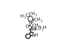 CC1(C)CC2CC(C)(CN2C(=O)C(C)(Cc2c[nH]c3ccccc23)NC(=O)O)C1